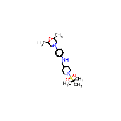 CC1CN(c2ccc(NCC3CCN(S(=O)(=O)C(C)(C)C)CC3)cc2)CC(C)O1